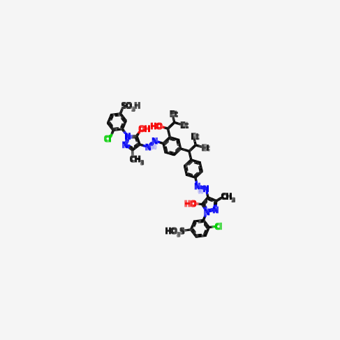 CCC(CC)C(O)c1cc(C(c2ccc(/N=N/c3c(C)nn(-c4cc(S(=O)(=O)O)ccc4Cl)c3O)cc2)C(CC)CC)ccc1/N=N/c1c(C)nn(-c2cc(S(=O)(=O)O)ccc2Cl)c1O